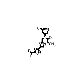 CCC(=O)N(Cc1ncc(-c2nnc(C(F)F)o2)s1)c1cncc(Cl)c1